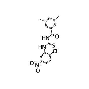 Cc1cc(C)cc(C(=O)NC(=S)Nc2cc([N+](=O)[O-])ccc2Cl)c1